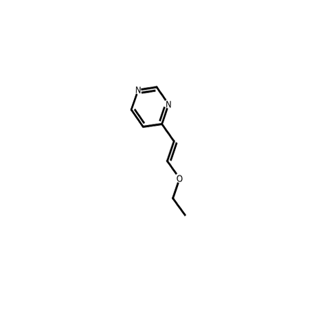 CCOC=Cc1ccncn1